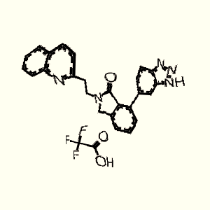 O=C(O)C(F)(F)F.O=C1c2c(cccc2-c2ccc3nn[nH]c3c2)CN1CCc1ccc2ccccc2n1